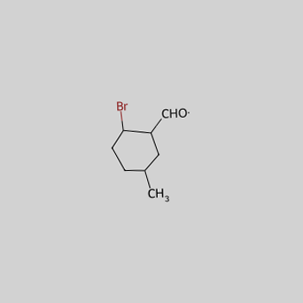 CC1CCC(Br)C([C]=O)C1